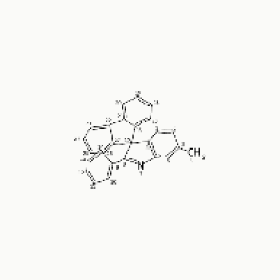 Cc1ccc2c(c1)N=C(c1ccccc1)C21c2ccccc2-c2ccccc21